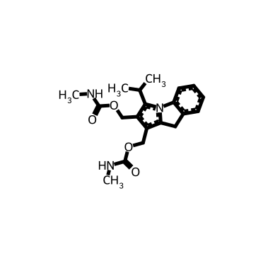 CNC(=O)OCc1c(COC(=O)NC)c(C(C)C)n2c1Cc1ccccc1-2